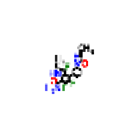 CC#CC(=O)N[C@H]1CCC=C(c2c(F)c(F)c(C(N)=O)c3[nH]c(C)c(F)c23)C1